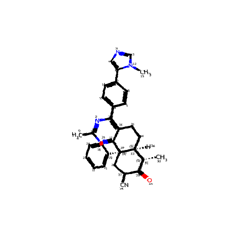 Cc1nc(-c2ccc(-c3cncn3C)cc2)c2c(n1)[C@]1(c3ccccc3)CC(C#N)C(=O)[C@@H](C)[C@@H]1CC2